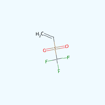 C=CS(=O)(=O)C(F)(F)F